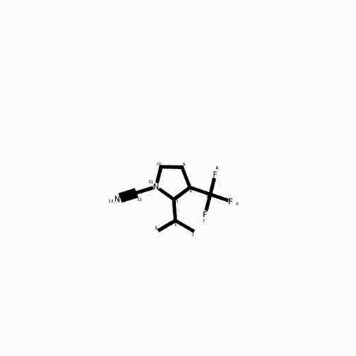 CC(C)C1C(C(F)(F)F)CCN1C#N